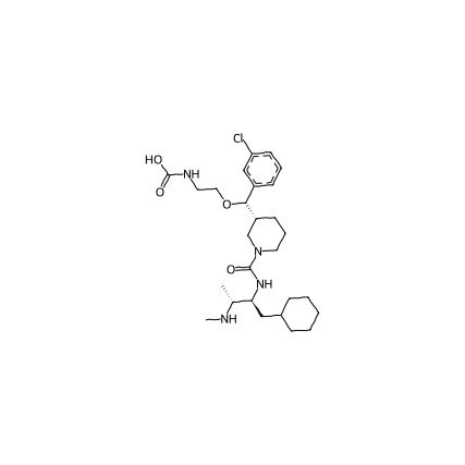 CN[C@H](C)[C@H](CC1CCCCC1)NC(=O)N1CCC[C@@H](C(OCCNC(=O)O)c2cccc(Cl)c2)C1